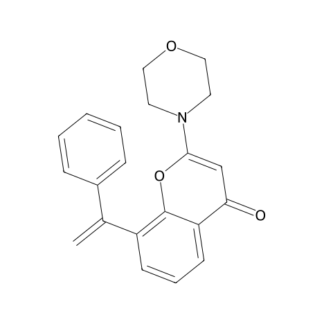 C=C(c1ccccc1)c1cccc2c(=O)cc(N3CCOCC3)oc12